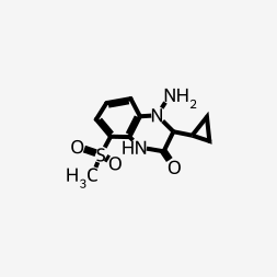 CS(=O)(=O)c1cccc2c1NC(=O)C(C1CC1)N2N